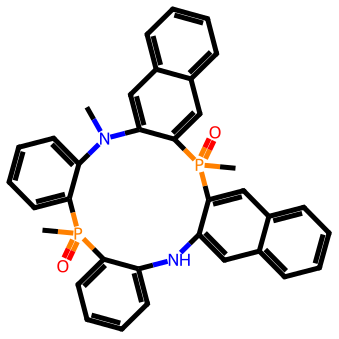 CN1c2ccccc2P(C)(=O)c2ccccc2Nc2cc3ccccc3cc2P(C)(=O)c2cc3ccccc3cc21